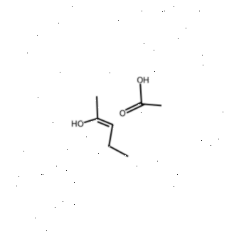 CC(=O)O.CCC=C(C)O